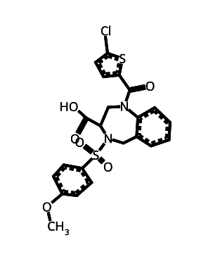 COc1ccc(S(=O)(=O)N2Cc3ccccc3N(C(=O)c3ccc(Cl)s3)CC2C(=O)O)cc1